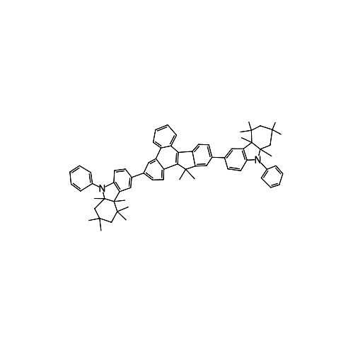 CC1(C)CC(C)(C)C2(C)c3cc(-c4ccc5c(c4)C(C)(C)c4c-5c5ccccc5c5cc(-c6ccc7c(c6)C6(C)C(C)(C)CC(C)(C)CC6(C)N7c6ccccc6)ccc45)ccc3N(c3ccccc3)C2(C)C1